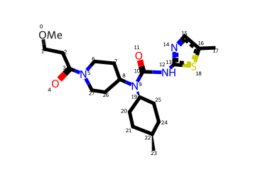 COCCC(=O)N1CCC(N(C(=O)Nc2ncc(C)s2)[C@H]2CC[C@H](C)CC2)CC1